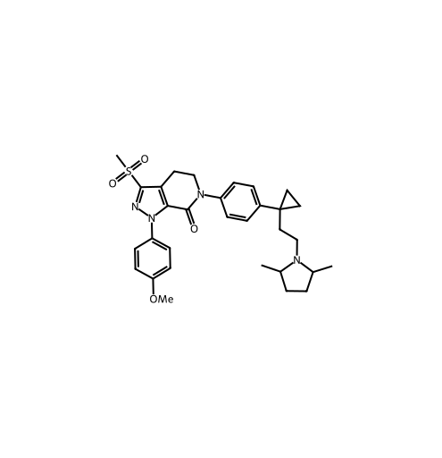 COc1ccc(-n2nc(S(C)(=O)=O)c3c2C(=O)N(c2ccc(C4(CCN5C(C)CCC5C)CC4)cc2)CC3)cc1